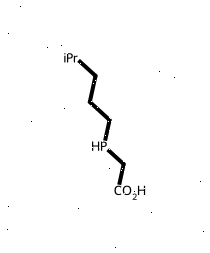 CC(C)CCCPCC(=O)O